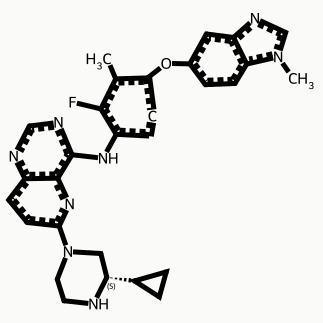 Cc1c(Oc2ccc3c(c2)ncn3C)ccc(Nc2ncnc3ccc(N4CCN[C@@H](C5CC5)C4)nc23)c1F